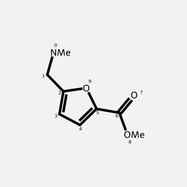 CNCc1ccc(C(=O)OC)o1